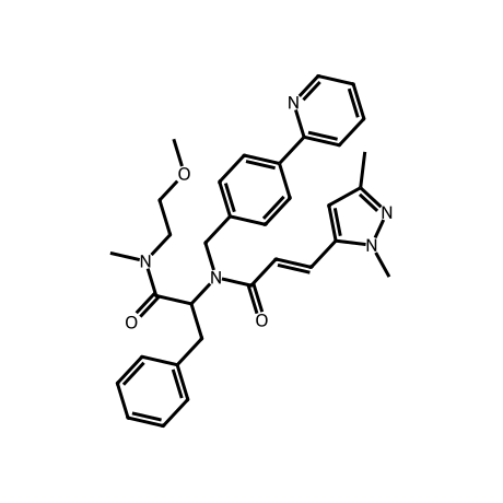 COCCN(C)C(=O)C(Cc1ccccc1)N(Cc1ccc(-c2ccccn2)cc1)C(=O)C=Cc1cc(C)nn1C